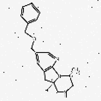 C[C@@H]1CNC[C@H]2Cc3cc(COCc4ccccc4)cnc3N21